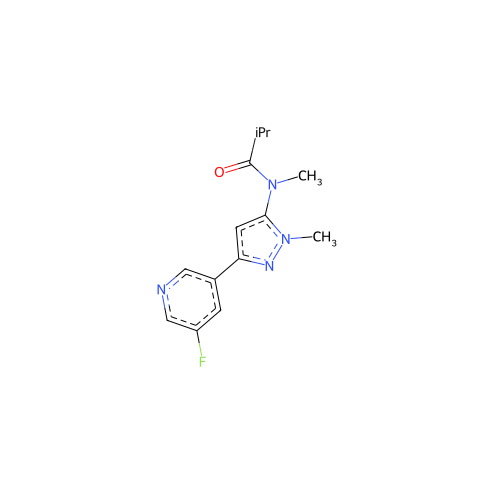 CC(C)C(=O)N(C)c1cc(-c2cncc(F)c2)nn1C